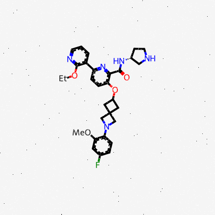 CCOc1ncccc1-c1ccc(OC2CC3(C2)CN(c2ccc(F)cc2OC)C3)c(C(=O)N[C@@H]2CCNC2)n1